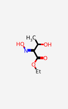 CCOC(=O)C(=NO)C(C)O